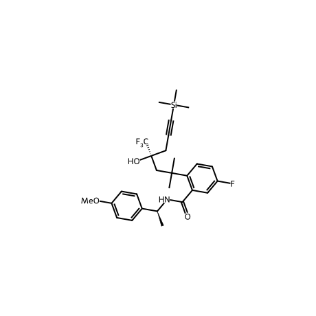 COc1ccc([C@H](C)NC(=O)c2cc(F)ccc2C(C)(C)C[C@@](O)(CC#C[Si](C)(C)C)C(F)(F)F)cc1